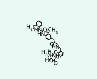 COc1cc(CC(=O)CNCc2ccn(CC(NC(C)=O)C(=O)O)c2C)ccc1NC(=O)Nc1ccccc1C